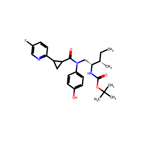 CC[C@H](C)[C@@H](CN(C(=O)C1CC1c1ccc(F)cn1)c1ccc(O)cc1)NC(=O)OC(C)(C)C